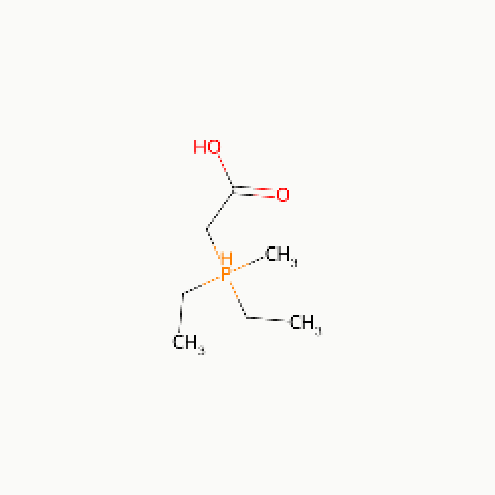 CC[PH](C)(CC)CC(=O)O